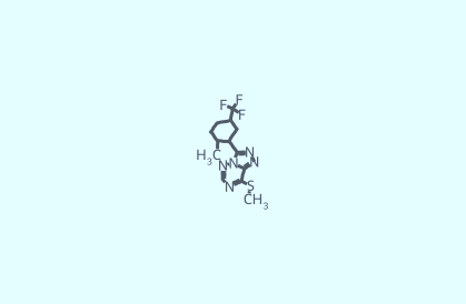 CSc1ncnn2c(C3CC(C(F)(F)F)CCC3C)nnc12